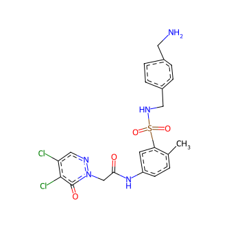 Cc1ccc(NC(=O)Cn2ncc(Cl)c(Cl)c2=O)cc1S(=O)(=O)NCc1ccc(CN)cc1